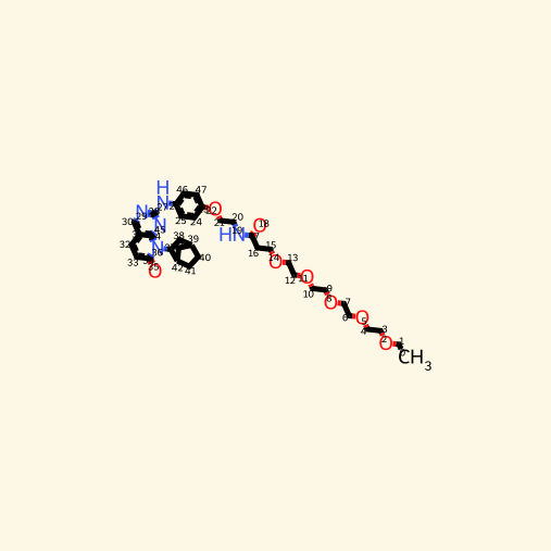 CCOCCOCCOCCOCCOCCC(=O)NCCOc1ccc(Nc2ncc3ccc(=O)n(C4CC5CCC4C5)c3n2)cc1